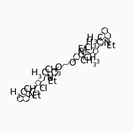 CCN1C(=CC=C2CCC(C=CC3=[N+](CC)c4ccc(OCCCCOc5ccc6c(c5)C(C)(C)C(C=CC5=C(Cl)C(=CC=C7N(CC)c8ccc9ccccc9c8C7(C)C)CC5)=[N+]6CC)cc4C3(C)C)=C2Cl)C(C)(C)c2c1ccc1ccccc21